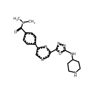 CN(C)C(=O)c1ccc(-c2cncc(-c3nnc(NC4CCNCC4)o3)n2)cc1